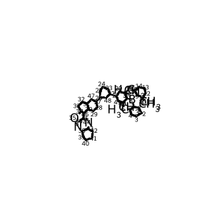 Cc1cccc(C)c1B(c1c(C)cccc1C)c1c(C)cc(-c2cccc(-c3ccc4c(ccc5oc6nc7ccccc7nc6c54)c3)c2)cc1C